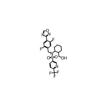 O=S(=O)(c1ccc(C(F)(F)F)nc1)N(Cc1cc(F)c(-c2ncon2)cc1F)C1CCCCC1CO